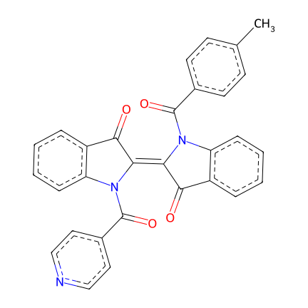 Cc1ccc(C(=O)N2/C(=C3\C(=O)c4ccccc4N3C(=O)c3ccncc3)C(=O)c3ccccc32)cc1